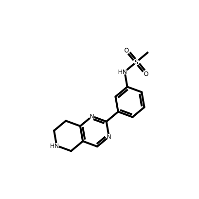 CS(=O)(=O)Nc1cccc(-c2ncc3c(n2)CCNC3)c1